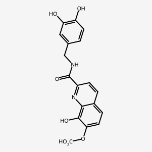 O=C(O)Oc1ccc2ccc(C(=O)NCc3ccc(O)c(O)c3)nc2c1O